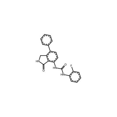 O=C(Nc1ccccc1F)Nc1ccc(-c2ccccc2)c2c1C(=O)NC2